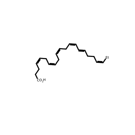 CC/C=C\CC/C=C/C=C\C/C=C\C/C=C\C/C=C\CCC(=O)O